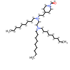 CCCCCCCCCN(CCCCCCCCC)CCN(CCCCCCCCC)CCC1CCN(C=O)CC1